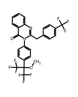 COC(c1ccc(-n2c(Cc3ccc(C(F)(F)F)cc3)nc3ccccc3c2=O)cc1)(C(F)(F)F)C(F)(F)F